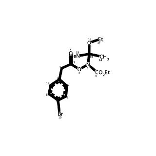 CCOC(=O)N(OC(=O)Cc1ccc(Br)cc1)C(C)(NC)OCC